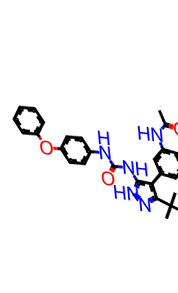 CC(=O)Nc1cccc(-c2c(C(C)(C)C)n[nH]c2NC(=O)Nc2ccc(Oc3ccccc3)cc2)c1